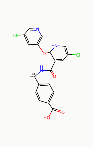 C[C@H](NC(=O)C1=CC(Cl)=CNC1Oc1cncc(Cl)c1)c1ccc(C(=O)O)cc1